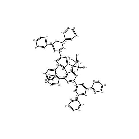 FC(F)(F)C1(C(F)(F)F)c2cc(C3=CC(c4ccccc4)CC(c4ccccc4)=C3)cc(-c3ccccc3)c2-c2c(-c3ccccc3)cc(-c3cc(-c4ccccc4)cc(-c4ccccc4)c3)cc21